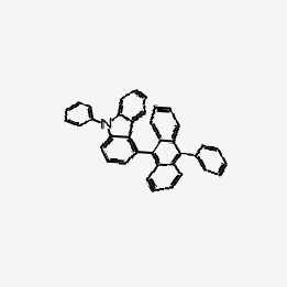 c1ccc(-c2c3ccccc3c(-c3cccc4c3c3ccccc3n4-c3ccccc3)c3ccccc23)cc1